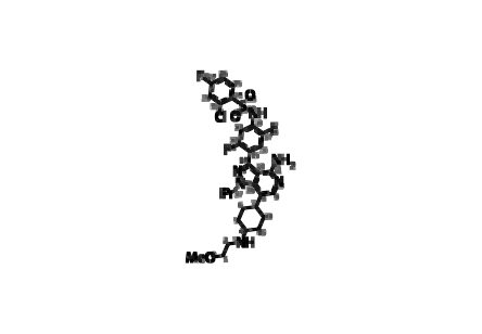 COCCNC1CCC(c2cnc(N)c3c(-c4cc(F)c(NS(=O)(=O)c5ccc(F)cc5Cl)cc4F)nn(C(C)C)c23)CC1